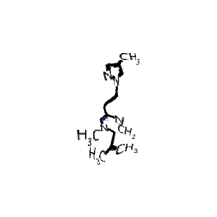 C=N/C(=C\N(C)CC(C)C)CCn1cc(C)cn1